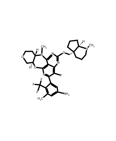 Cc1cc(N)cc(-c2nc3c4c(nc(OC[C@]56CCC[C@H]5N(C)CCC6)nc4c2F)N(C)[C@H]2CCOC[C@@H]2O3)c1C(F)(F)F